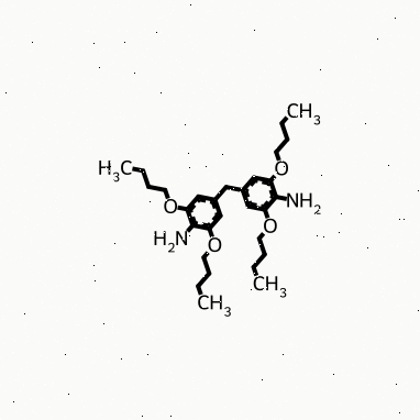 CCCCOc1cc(Cc2cc(OCCCC)c(N)c(OCCCC)c2)cc(OCCCC)c1N